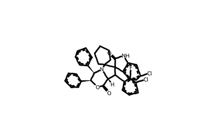 O=C1O[C@@H](c2ccccc2)[C@@H](c2ccccc2)N2[C@@H]1C(c1cccc(Cl)c1F)C1(C(=O)Nc3cc(Cl)ccc31)C21CCCCC1